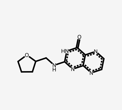 O=c1[nH]c(NCC2CCCO2)nc2nccnc12